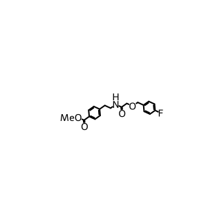 COC(=O)c1ccc(CCNC(=O)COCc2ccc(F)cc2)cc1